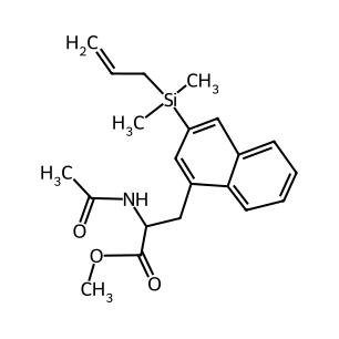 C=CC[Si](C)(C)c1cc(CC(NC(C)=O)C(=O)OC)c2ccccc2c1